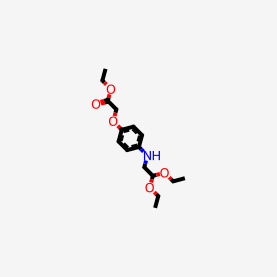 CCOC(=O)COc1ccc(NCC(OCC)OCC)cc1